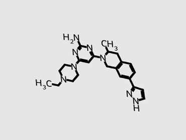 CCN1CCN(c2cc(N3Cc4cc(-c5cc[nH]n5)ccc4CC3C)nc(N)n2)CC1